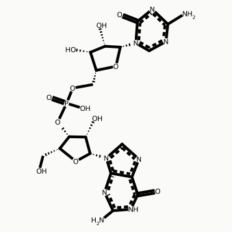 Nc1ncn([C@@H]2O[C@H](COP(=O)(O)O[C@@H]3[C@H](O)[C@H](n4cnc5c(=O)[nH]c(N)nc54)O[C@@H]3CO)[C@H](O)[C@@H]2O)c(=O)n1